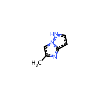 Cc1cn2[nH]ccc2n1